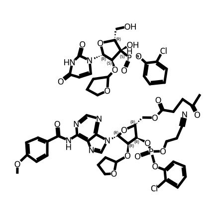 COc1ccc(C(=O)Nc2ncnc3c2ncn3[C@@H]2O[C@H](COC(=O)CCC(C)=O)[C@@H](OP(=O)(OCCC#N)Oc3ccccc3Cl)[C@H]2OC2CCCO2)cc1.O=c1ccn([C@@H]2O[C@H](CO)[C@](O)([PH](=O)Oc3ccccc3Cl)[C@H]2OC2CCCO2)c(=O)[nH]1